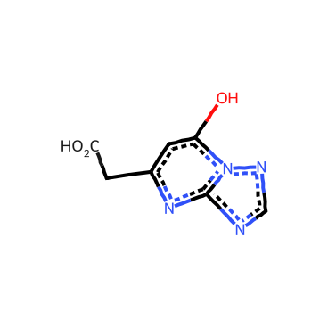 O=C(O)Cc1cc(O)n2ncnc2n1